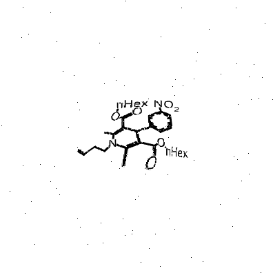 C=CCCN1C(C)=C(C(=O)OCCCCCC)C(c2cccc([N+](=O)[O-])c2)C(C(=O)OCCCCCC)=C1C